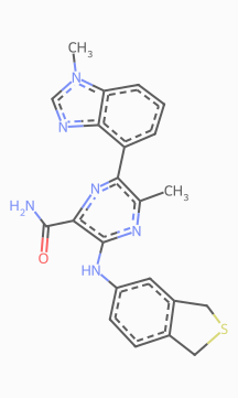 Cc1nc(Nc2ccc3c(c2)CSC3)c(C(N)=O)nc1-c1cccc2c1ncn2C